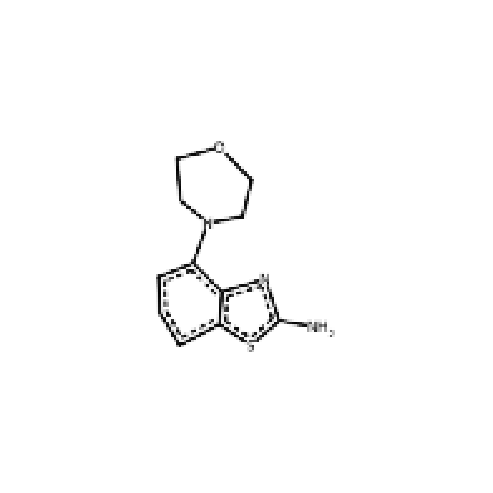 Nc1nc2c(N3CCOCC3)cccc2s1